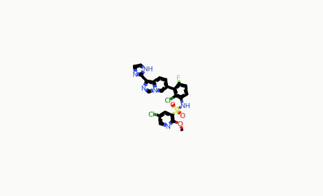 COc1ncc(Cl)cc1S(=O)(=O)Nc1ccc(F)c(-c2ccc3c(-c4ncc[nH]4)ncn3c2)c1Cl